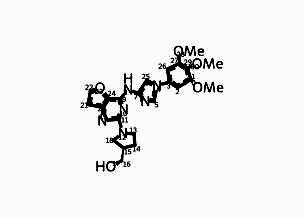 COc1cc(-n2cnc(Nc3nc(N4CC[C@@H](CO)C4)nc4ccoc34)c2)cc(OC)c1OC